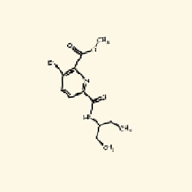 CCC(CC)NC(=O)c1ccc(Br)c(C(=O)OC)n1